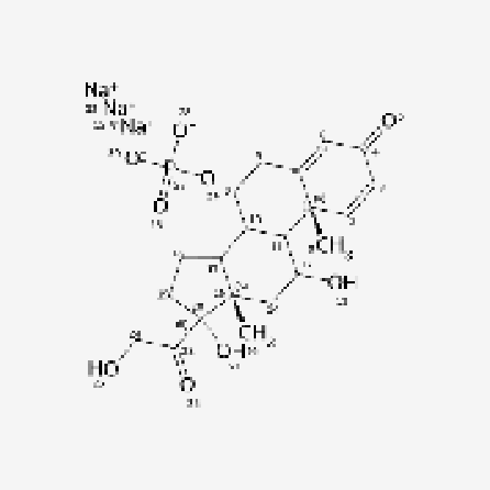 C[C@]12C=CC(=O)C=C1CCC1C2C(O)C[C@@]2(C)C1CC[C@]2(O)C(=O)CO.O=P([O-])([O-])[O-].[Na+].[Na+].[Na+]